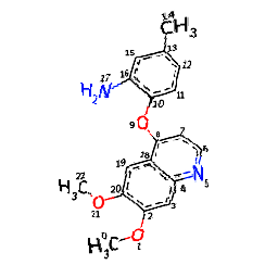 COc1cc2nccc(Oc3ccc(C)cc3N)c2cc1OC